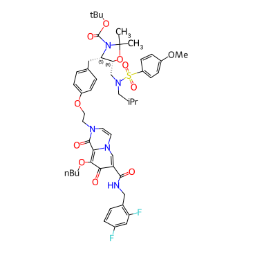 CCCCOc1c(=O)c(C(=O)NCc2ccc(F)cc2F)cn2ccn(CCOc3ccc(C[C@H]4[C@@H](CN(CC(C)C)S(=O)(=O)c5ccc(OC)cc5)OC(C)(C)N4C(=O)OC(C)(C)C)cc3)c(=O)c12